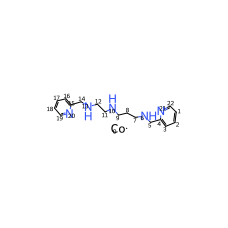 [Co].c1ccc(CNCCCNCCNCc2ccccn2)nc1